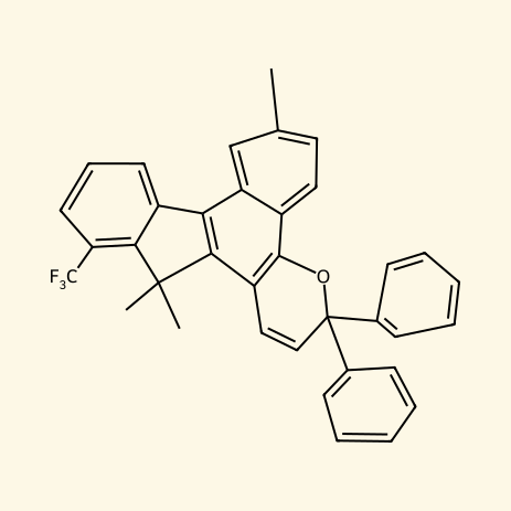 Cc1ccc2c3c(c4c(c2c1)-c1cccc(C(F)(F)F)c1C4(C)C)C=CC(c1ccccc1)(c1ccccc1)O3